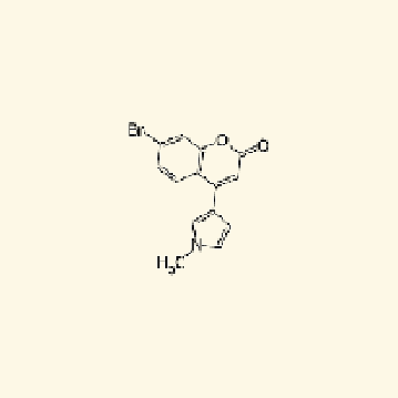 Cn1ccc(-c2cc(=O)oc3cc(Br)ccc23)c1